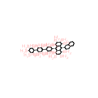 Bc1c(B)c(B)c(-c2c(B)c(B)c(-c3c(B)c(B)c(-c4c5c(B)c(B)c(B)c(B)c5c(-c5ccc6ccccc6c5)c5c(B)c(B)c(B)c(B)c45)c(B)c3B)c(B)c2B)c(B)c1B